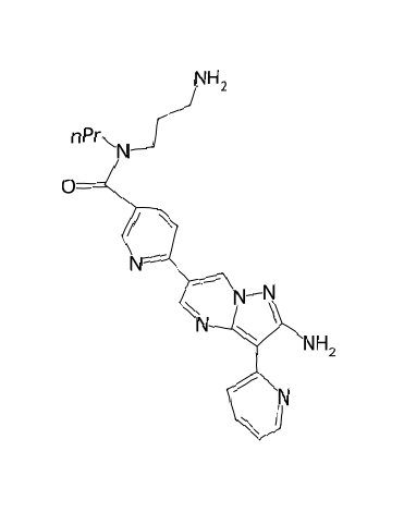 CCCN(CCCN)C(=O)c1ccc(-c2cnc3c(-c4ccccn4)c(N)nn3c2)nc1